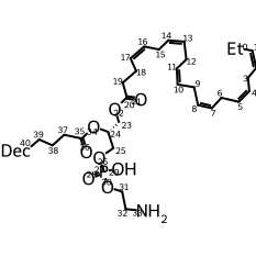 CC/C=C\C/C=C\C/C=C\C/C=C\C/C=C\C/C=C\CCC(=O)OC[C@H](COP(=O)(O)OCCN)OC(=O)CCCCCCCCCCCCC